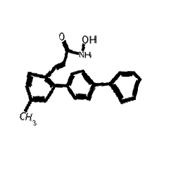 Cc1ccc(/C=C/C(=O)NO)c(-c2ccc(-c3ccccc3)cc2)c1